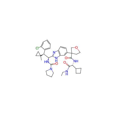 CCNC(=O)[C@H](NC(=O)C1(c2ccc3nc([C@@H](NC(=O)N4CCCC4)[C@H](c4ccccc4Cl)C4(C)CC4)[nH]c3c2)CCOC1)C1CCC1